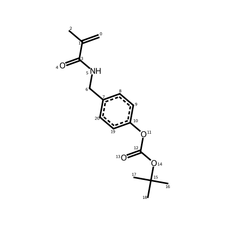 C=C(C)C(=O)NCc1ccc(OC(=O)OC(C)(C)C)cc1